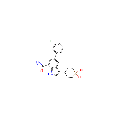 NC(=O)c1cc(-c2cccc(F)c2)cc2c(C3CCS(O)(O)CC3)c[nH]c12